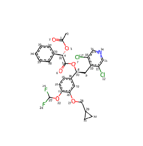 CC(=O)O[C@H](C(=O)O[C@@H](Cc1c(Cl)cncc1Cl)c1ccc(OC(F)F)c(OCC2CC2)c1)c1ccccc1